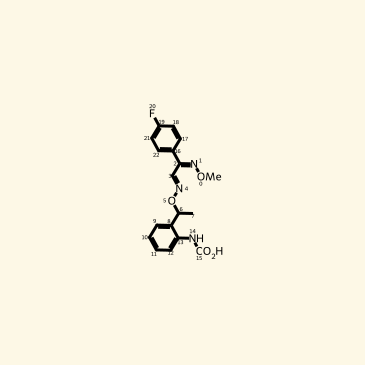 CON=C(C=NOC(C)c1ccccc1NC(=O)O)c1ccc(F)cc1